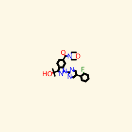 CC(C)(O)c1nn(-c2ncc(-c3ccccc3F)cn2)c2cc(C(=O)N3CCOCC3)ccc12